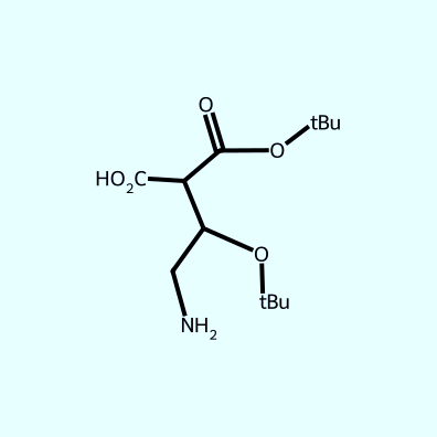 CC(C)(C)OC(=O)C(C(=O)O)C(CN)OC(C)(C)C